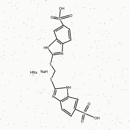 O=S(=O)(O)c1ccc2nc(SCSc3nc4ccc(S(=O)(=O)O)cc4[nH]3)[nH]c2c1.[NaH].[NaH]